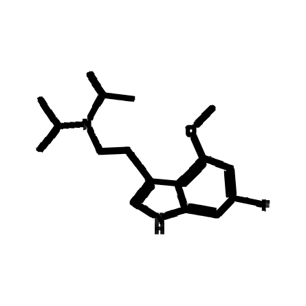 COc1cc(F)cc2[nH]cc(CCN(C(C)C)C(C)C)c12